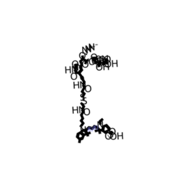 CCN1/C(=C/C=C/C2=[N+](CCCCCC(=O)NCCSSCCC(=O)NCC#Cc3cn(C4CC(OCN=[N+]=[N-])C(COP(=O)(O)CP(=O)(O)CP(=O)(O)O)O4)c(=O)[nH]c3=O)c3ccc(C)cc3C2(C)C)C(C)(C)c2cc(S(=O)(=O)O)ccc21